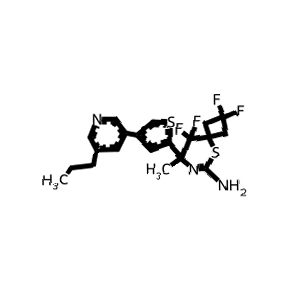 CCCc1cncc(-c2csc(C3(C)N=C(N)SC4(CC(F)(F)C4)C3(F)F)c2)c1